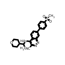 CC([AsH]c1c(C#N)nnc2cc(-c3ccc(S(C)(=O)=O)cc3)ccc12)C1CCOCC1